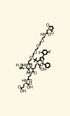 C=C(N)C[C@H](NC(=O)CCOCCOCCOCCOCCNC(=O)CN1C(=O)C=CC1=O)C(=O)NC(CCN(C(=O)CO)C(c1cc(-c2cc(F)ccc2F)cn1Cc1ccccc1)C(C)(C)C)C(=O)NCCC(=O)N[C@H](CCC(=O)O)C(=O)O